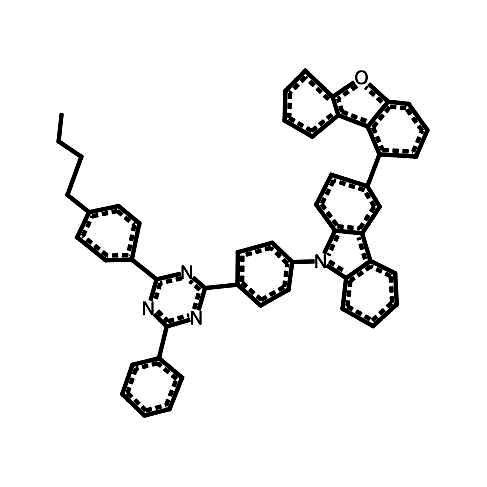 CCCCc1ccc(-c2nc(-c3ccccc3)nc(-c3ccc(-n4c5ccccc5c5cc(-c6cccc7oc8ccccc8c67)ccc54)cc3)n2)cc1